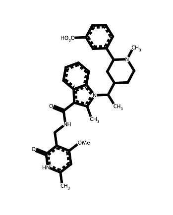 COc1cc(C)[nH]c(=O)c1CNC(=O)c1c(C)n(C(C)C2CCN(C)C(c3cccc(C(=O)O)c3)C2)c2ccccc12